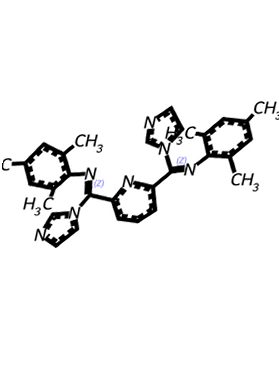 Cc1cc(C)c(/N=C(/c2cccc(/C(=N/c3c(C)cc(C)cc3C)n3ccnc3)n2)n2ccnc2)c(C)c1